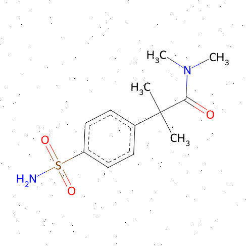 CN(C)C(=O)C(C)(C)c1ccc(S(N)(=O)=O)cc1